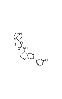 O=C(NC1CCSc2cc(-c3cccc(Cl)c3)ccc21)O[C@@H]1CN2CCC1CC2